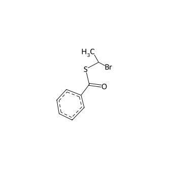 CC(Br)SC(=O)c1ccccc1